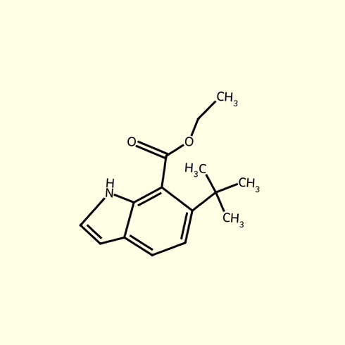 CCOC(=O)c1c(C(C)(C)C)ccc2cc[nH]c12